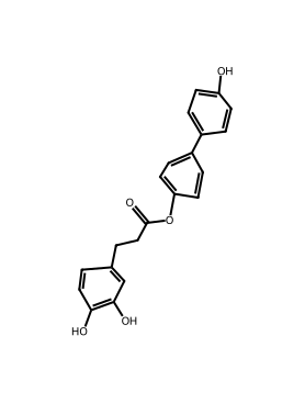 O=C(CCc1ccc(O)c(O)c1)Oc1ccc(-c2ccc(O)cc2)cc1